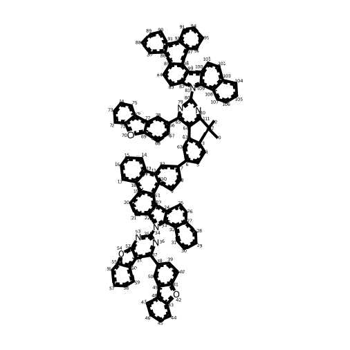 CC1(C)c2ccc(-c3ccc4c(c3)c3ccccc3c3ccc5c(c6ccc7ccccc7c6n5-c5nc(-c6ccc7oc8ccccc8c7c6)c6c(n5)oc5ccccc56)c34)cc2-c2c(-c3ccc4oc5ccccc5c4c3)nc(-n3c4ccc5c6ccccc6c6ccccc6c5c4c4ccc5ccccc5c43)nc21